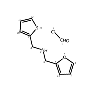 O=CCl.c1coc(CNCc2cccs2)c1